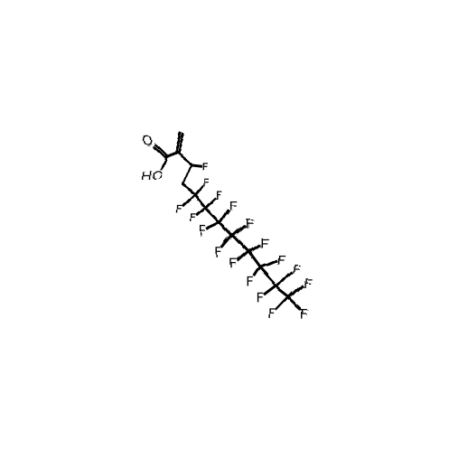 C=C(C(=O)O)C(F)CC(F)(F)C(F)(F)C(F)(F)C(F)(F)C(F)(F)C(F)(F)C(F)(F)C(F)(F)F